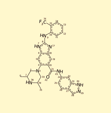 CC1CN(c2cc3[nH]c(Nc4ccccc4C(F)(F)F)nc3cc2C(=O)Nc2ccc3cn[nH]c3c2)CC(C)N1